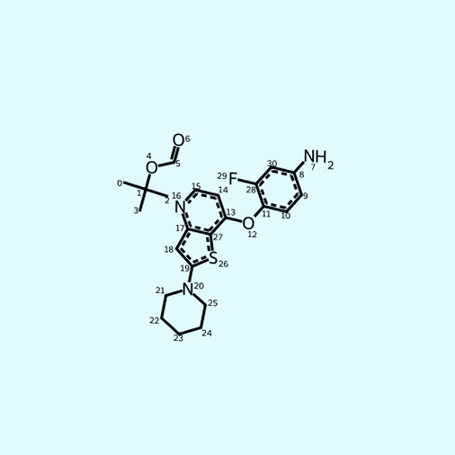 CC(C)(C)OC=O.Nc1ccc(Oc2ccnc3cc(N4CCCCC4)sc23)c(F)c1